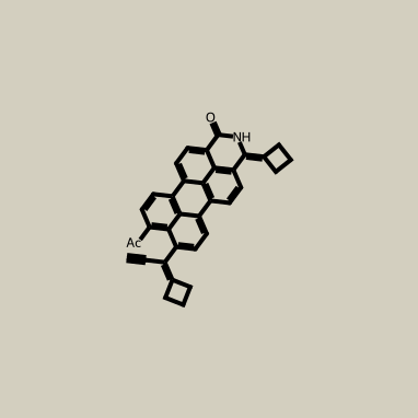 C#CC(=C1CCC1)c1ccc2c3ccc4c(=C5CCC5)[nH]c(=O)c5ccc(c6ccc(C(C)=O)c1c62)c3c54